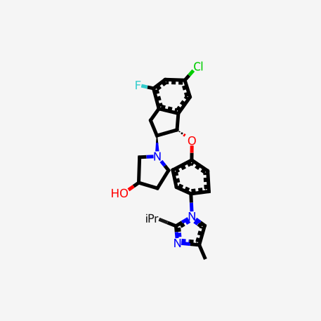 Cc1cn(-c2ccc(O[C@H]3c4cc(Cl)cc(F)c4C[C@@H]3N3CCC(O)C3)cc2)c(C(C)C)n1